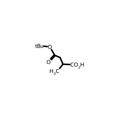 CC(CC(=O)OC(C)(C)C)C(=O)O